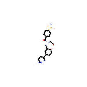 Nc1ccc(-c2ccc3c(c2)CN(C(=O)c2ccc(S(N)(=O)=O)cc2)CCO3)cn1